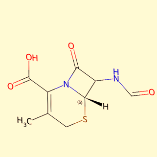 CC1=C(C(=O)O)N2C(=O)C(NC=O)[C@@H]2SC1